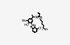 C=CC(=O)OCCCCCC(C)C.CC(C(=O)O)c1cc(-n2nc3cccc(C(F)(F)F)c3n2)c(O)c(C(C)(C)C)c1